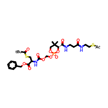 CC(=O)SCCNC(=O)CCNC(=O)[C@@H]1OP(=O)(OCOC(=O)NC(CSC(=O)C(C)(C)C)C(=O)OCc2ccccc2)OCC1(C)C